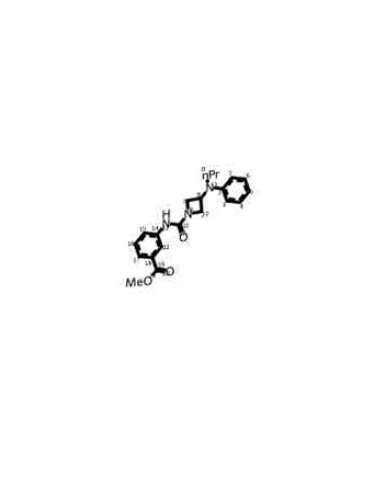 CCCN(c1ccccc1)C1CN(C(=O)Nc2cccc(C(=O)OC)c2)C1